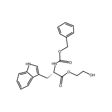 O=C(N[C@@H](Cc1c[nH]c2ccccc12)C(=O)OCCO)OCc1ccccc1